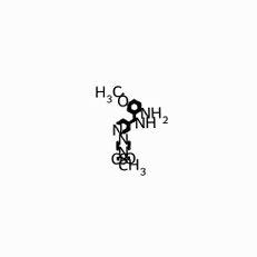 CCOc1ccc(N)c(C(=N)c2ccnc(N3CCN(S(C)(=O)=O)CC3)c2)c1